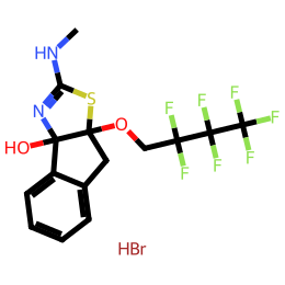 Br.CNC1=NC2(O)c3ccccc3CC2(OCC(F)(F)C(F)(F)C(F)(F)F)S1